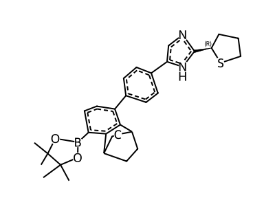 CC1(C)OB(c2ccc(-c3ccc(-c4cnc([C@H]5CCCS5)[nH]4)cc3)c3c2C2CCC3CC2)OC1(C)C